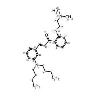 CCCCN(CCCC)c1cccc(C=CC(=O)c2ccccc2NCCN(C)C)c1